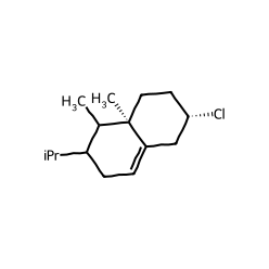 CC(C)C1CC=C2C[C@@H](Cl)CC[C@]2(C)C1C